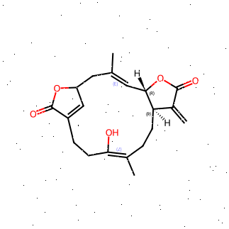 C=C1C(=O)O[C@H]2/C=C(\C)CC3C=C(CC/C(O)=C(\C)CC[C@H]12)C(=O)O3